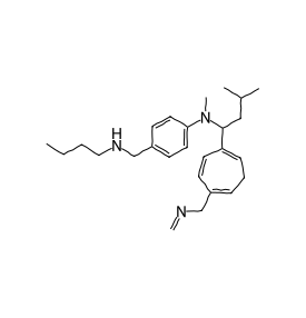 C=NCC1=CCC=C(C(CC(C)C)N(C)c2ccc(CNCCCC)cc2)C=C1